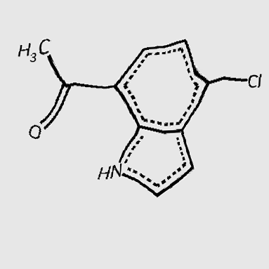 CC(=O)c1ccc(Cl)c2cc[nH]c12